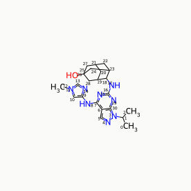 CC(C)n1ncc2c(Nc3cn(C)cn3)nc(NC3C4CC5CC3CC(O)(C5)C4)nc21